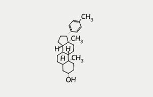 Cc1ccc([C@H]2CC[C@H]3[C@@H]4CCC5C[C@@H](O)CC[C@]5(C)[C@H]4CC[C@]23C)cc1